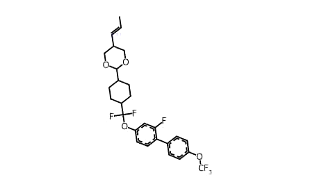 C/C=C/C1COC(C2CCC(C(F)(F)Oc3ccc(-c4ccc(OC(F)(F)F)cc4)c(F)c3)CC2)OC1